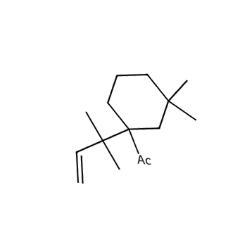 C=CC(C)(C)C1(C(C)=O)CCCC(C)(C)C1